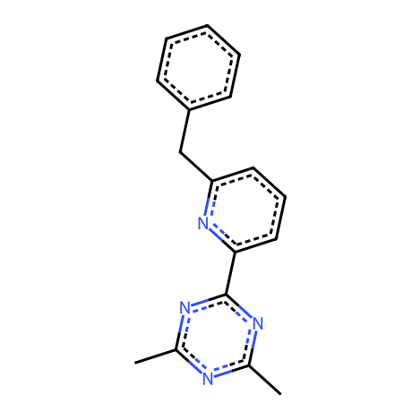 Cc1nc(C)nc(-c2cccc(Cc3ccccc3)n2)n1